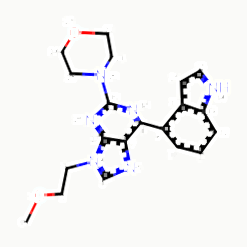 COCCn1cnc2c(-c3cccc4[nH]ccc34)nc(N3CCOCC3)nc21